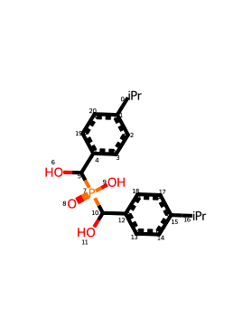 CC(C)c1ccc(C(O)P(=O)(O)C(O)c2ccc(C(C)C)cc2)cc1